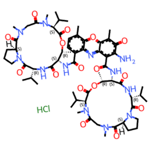 Cc1c2oc3c(C)ccc(C(=O)N[C@@H]4C(=O)N[C@H](C(C)C)C(=O)N5CCC[C@H]5C(=O)N(C)CC(=O)N(C)[C@@H](C(C)C)C(=O)O[C@@H]4C)c3nc-2c(C(=O)N[C@@H]2C(=O)N[C@H](C(C)C)C(=O)N3CCC[C@H]3C(=O)N(C)CC(=O)N(C)[C@@H](C(C)C)C(=O)O[C@@H]2C)c(N)c1=O.Cl